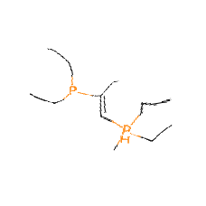 CCP(CC)/C(C)=C/[PH](C)(CC)CC